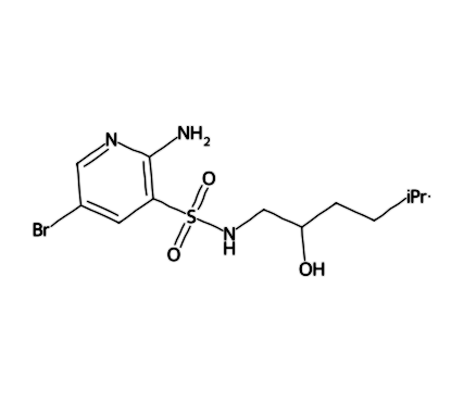 C[C](C)CCC(O)CNS(=O)(=O)c1cc(Br)cnc1N